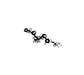 CN(C)CCOc1cc(F)cc(-c2nccc3[nH]c(-c4n[nH]c5cnc(-c6cncc(NC(=O)C7CCCC7)c6)cc45)nc23)c1